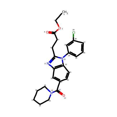 CCOC(=O)CCc1nc2cc(C(=O)N3CCCCC3)ccc2n1-c1cccc(Cl)c1